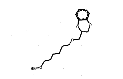 CCC(C)OCCCCCCOCC1COc2ccccc2O1